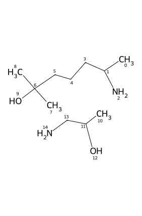 CC(N)CCCC(C)(C)O.CC(O)CN